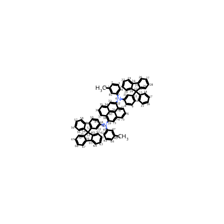 Cc1cccc(N(c2cccc(C3(c4ccccc4)c4ccccc4-c4ccccc43)c2)c2cc3cccc4c(N(c5cccc(C)c5)c5cccc(C6(c7ccccc7)c7ccccc7-c7ccccc76)c5)cc5cccc2c5c34)c1